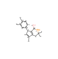 B=C1PC(C)(C)CC2=C1C(c1ccc(C)c(C)c1)C=C2C